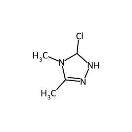 CC1=NNC(Cl)N1C